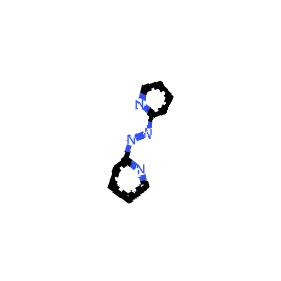 c1ccc(/N=N/c2ccccn2)nc1